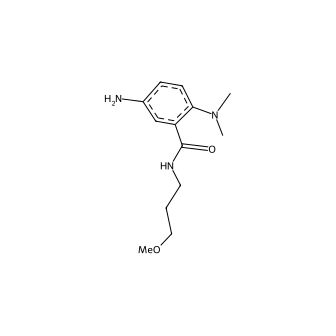 COCCCNC(=O)c1cc(N)ccc1N(C)C